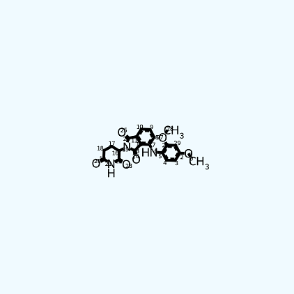 COc1ccc(Nc2cccc3c2C(=O)N(C2CCC(=O)NC2=O)C3=O)c(OC)c1